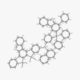 CC1(C)c2ccccc2-c2c1c1c(c3c2oc2ccccc23)-c2ccc(N(c3ccc4c(c3)C3(c5ccccc5-c5ccccc53)c3cc(-c5ccccc5)c5oc6ccccc6c5c3-4)c3cccc4ccccc34)cc2C1(C)C